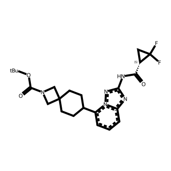 CC(C)(C)OC(=O)N1CC2(CCC(c3cccc4nc(NC(=O)[C@@H]5CC5(F)F)nn34)CC2)C1